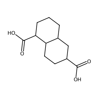 O=C(O)C1CCC2C(CCCC2C(=O)O)C1